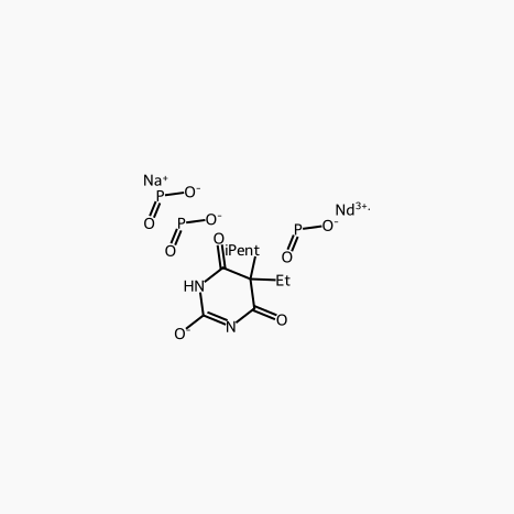 CCCC(C)C1(CC)C(=O)N=C([O-])NC1=O.O=P[O-].O=P[O-].O=P[O-].[Na+].[Nd+3]